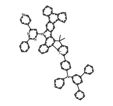 CC1(C)c2ccc(-c3ccc(N(c4ccccc4)c4cc(-c5ccccc5)cc(-c5ccccc5)c4)cc3)cc2-c2c1c1c3cc4c5ccccc5c5ccccc5c4cc3n(-c3cc(-c4ccncc4)nc(-c4ccccc4)n3)c1c1ccccc21